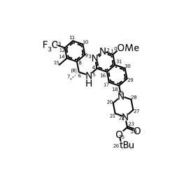 COc1nnc(N[C@H](C)c2cccc(C(F)(F)F)c2C)c2cc(N3CCN(C(=O)OC(C)(C)C)CC3)ccc12